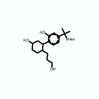 CCCCCCC(C)(C)c1ccc(C2CC(O)CCC2CCCO)c(O)c1